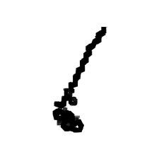 CCCCCCCCCCCCCCCCCCOC(=O)CCC(C)[C@H]1CC[C@H]2[C@@H]3CCC4CCCC[C@]4(C)[C@H]3CC[C@]12C